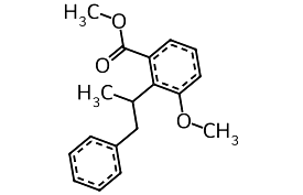 COC(=O)c1cccc(OC)c1C(C)Cc1ccccc1